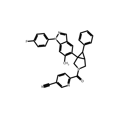 Cc1cc2c(cnn2-c2ccc(F)cc2)cc1C12CN(C(=O)c3ccc(C#N)cn3)CC1C2c1ccccc1